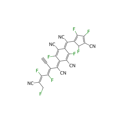 C#CC(=C(F)\C(F)=C(\C#N)CF)/C(C#N)=c1\c(F)c(C#N)/c(=C(\C#N)C2=C(F)C(F)=C(C#N)C2F)c(F)c1C#N